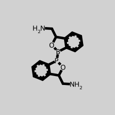 NCC1OB(P2OC(CN)c3ccccc32)c2ccccc21